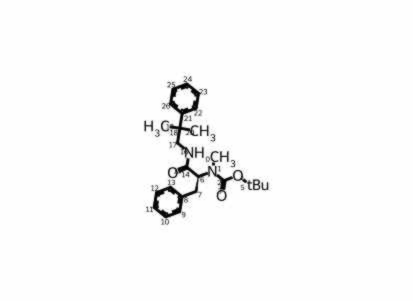 CN(C(=O)OC(C)(C)C)[C@@H](Cc1ccccc1)C(=O)NCC(C)(C)c1ccccc1